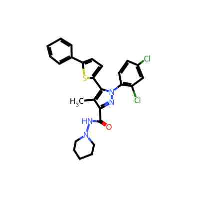 Cc1c(C(=O)NN2CCCCC2)nn(-c2ccc(Cl)cc2Cl)c1-c1ccc(-c2ccccc2)s1